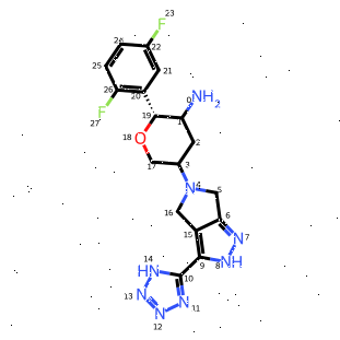 NC1CC(N2Cc3n[nH]c(-c4nnn[nH]4)c3C2)CO[C@@H]1c1cc(F)ccc1F